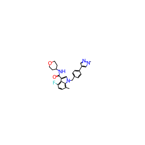 Cc1ccc(F)c2c(C(=O)NC3CCOCC3)cn(Cc3ccc(-c4cnn(C)c4)cc3)c12